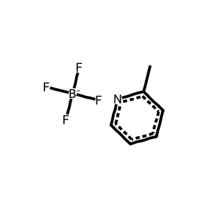 Cc1ccccn1.F[B-](F)(F)F